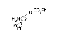 CCOC(=O)COCCc1ccc(N(CC(C)C)CC(C)C)c(N)c1